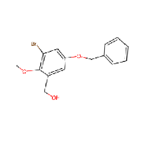 COc1c(Br)cc(OCc2ccccc2)cc1CO